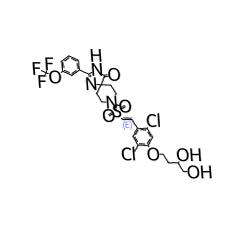 O=C1NC(c2cccc(OC(F)(F)F)c2)=NC12CCN(S(=O)(=O)/C=C/c1cc(Cl)c(OCCC(O)CO)cc1Cl)CC2